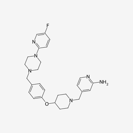 Nc1cc(CN2CCC(Oc3ccc(CN4CCN(c5ccc(F)cn5)CC4)cc3)CC2)ccn1